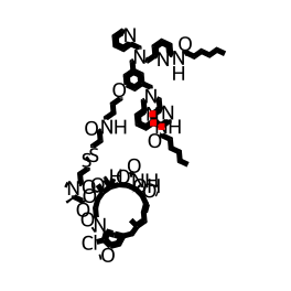 CCCCCC(=O)Nc1cccc(CN(Cc2cc(CN(Cc3ccccn3)Cc3cccc(NC(=O)CCCCC)n3)cc(OCCCCNC(=O)CCSSCCC(=O)N(C)[C@H](C)C(=O)O[C@H]3CC(=O)N(C)c4cc(cc(OC)c4Cl)C/C(C)=C/C=C/[C@H](OC)[C@]4(O)C[C@@H](OC(=O)N4)C4(C)CO[C@]34C)c2)Cc2ccccn2)n1